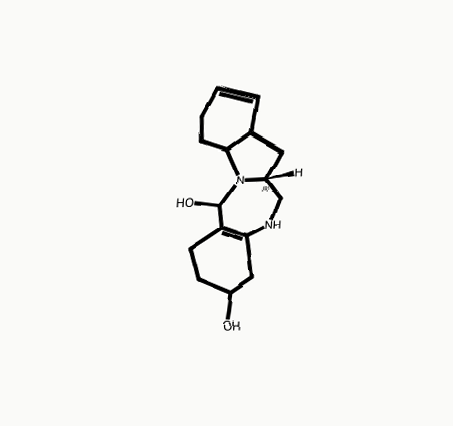 OC1CCC2=C(C1)NC[C@H]1CC3C=CCCC3N1C2O